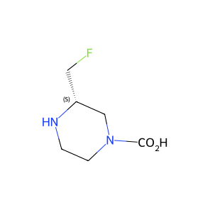 O=C(O)N1CCN[C@H](CF)C1